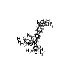 CC(C)CC(C(N)=O)N(CC#N)c1nn(C(=O)OC(C)(C)C)cc1-c1ccc(N2CCN(C(=O)OC(C)(C)C)CC2)cc1